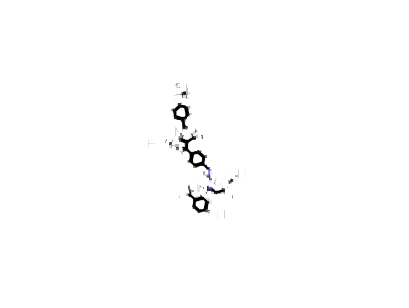 Cc1ccc(C(C)C)c(N/C(CC(=O)OCS)=N\N=C\c2ccc(-c3nn(C)c(NC(=O)c4ccc(OC(F)(F)F)cc4)c3C#N)cc2)c1